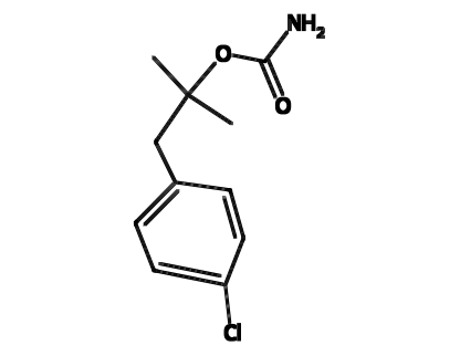 CC(C)(Cc1ccc(Cl)cc1)OC(N)=O